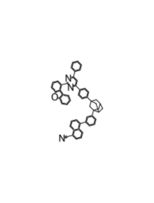 N#Cc1cccc2c(-c3cccc(C45CC6CC4CC(c4ccc(-c7cc(-c8ccccc8)nc(-c8cccc9oc%10ccccc%10c89)n7)cc4)(C6)C5)c3)cccc12